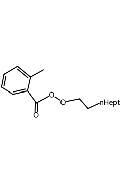 [CH2]CCCCCCCCOOC(=O)c1ccccc1C